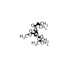 CCOC(=O)C1CN(C(=O)OC(C)(C)C)CC12CN(C(=O)C1CC1(C)C)C2